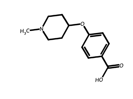 CN1CCC(Oc2ccc(C(=O)O)cc2)CC1